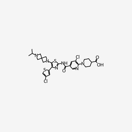 CC(C)N1CC2(CN(c3sc(NC(=O)c4cnc(N5CCC(C(=O)O)CC5)c(Cl)c4)nc3-c3cc(Cl)cs3)C2)C1